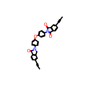 CC#Cc1ccc2c(c1)CN(c1ccc(Oc3ccc(N4C(=O)c5ccc(C#CC)cc5C4=O)cc3)cc1)C2=O